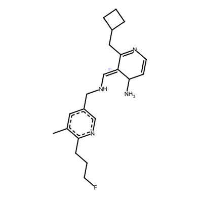 Cc1cc(CN/C=C2/C(CC3CCC3)=NC=CC2N)cnc1CCCF